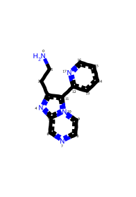 NCCc1nc2cnccn2c1-c1ccccn1